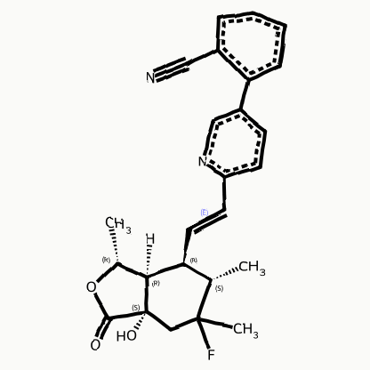 C[C@H]1OC(=O)[C@]2(O)CC(C)(F)[C@@H](C)[C@H](/C=C/c3ccc(-c4ccccc4C#N)cn3)[C@H]12